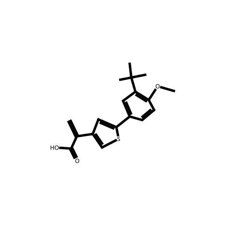 C=C(C(=O)O)c1csc(-c2ccc(OC)c(C(C)(C)C)c2)c1